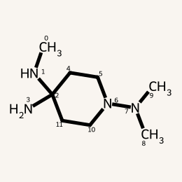 CNC1(N)CCN(N(C)C)CC1